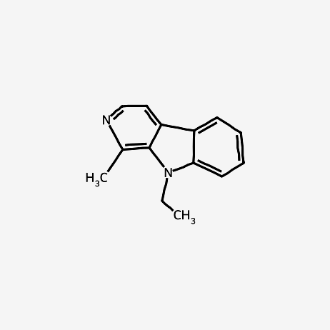 CCn1c2ccccc2c2ccnc(C)c21